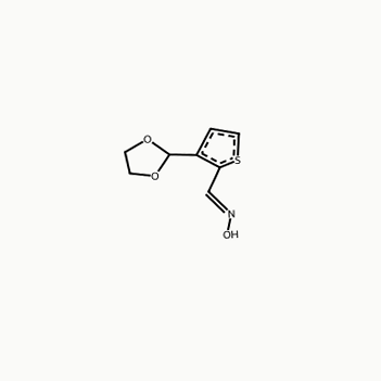 O/N=C/c1sccc1C1OCCO1